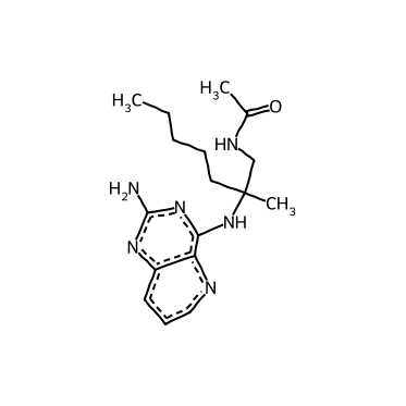 CCCCCC(C)(CNC(C)=O)Nc1nc(N)nc2cccnc12